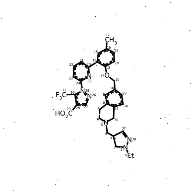 CCN1CC(CN2CCc3cc(COc4ccc(C)cc4-c4cccc(-n5ncc(C(=O)O)c5C(F)(F)F)n4)ccc3C2)C=N1